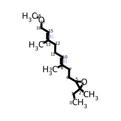 CCC1(C)OC1CC/C(C)=C/CC/C(C)=C/COC